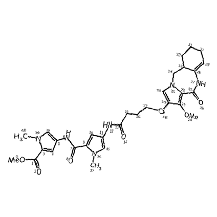 COC(=O)c1cc(NC(=O)c2cc(NC(=O)CCCOc3cn4c(c3OC)C(=O)NC3=CCCCC3C4)cn2C)cn1C